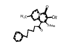 CSc1c(C#N)c(=O)n2ccc(C)cc2c1C(=O)CCCCc1ccccc1